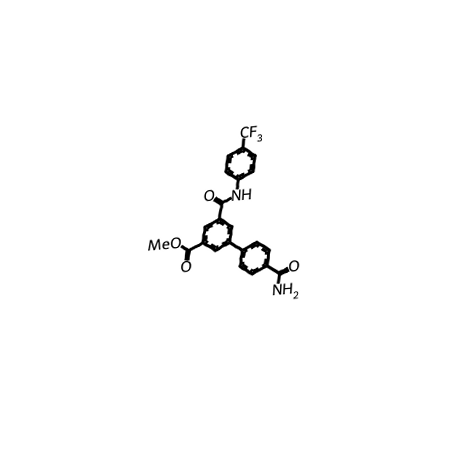 COC(=O)c1cc(C(=O)Nc2ccc(C(F)(F)F)cc2)cc(-c2ccc(C(N)=O)cc2)c1